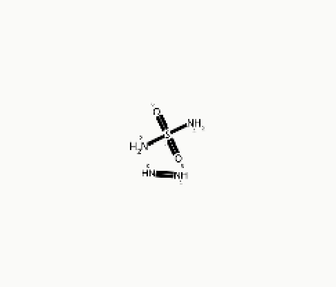 N=N.NS(N)(=O)=O